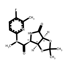 Cc1nc(N(C)C(=O)[C@H]2NC(=O)[C@H]3OC(C)(C)O[C@@H]23)ccc1F